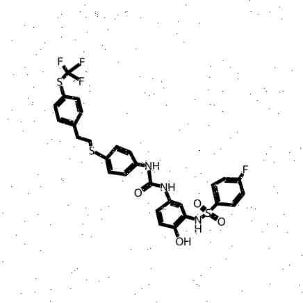 O=C(Nc1ccc(SCCc2ccc(SC(F)(F)F)cc2)cc1)Nc1ccc(O)c(NS(=O)(=O)c2ccc(F)cc2)c1